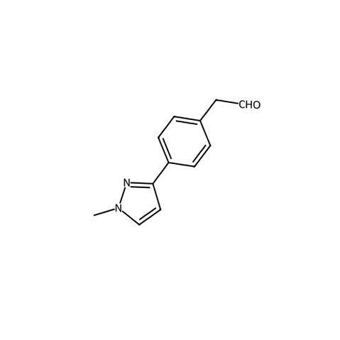 Cn1ccc(-c2ccc(CC=O)cc2)n1